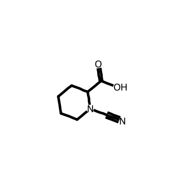 N#CN1CCCCC1C(=O)O